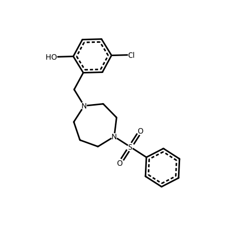 O=S(=O)(c1ccccc1)N1CCCN(Cc2cc(Cl)ccc2O)CC1